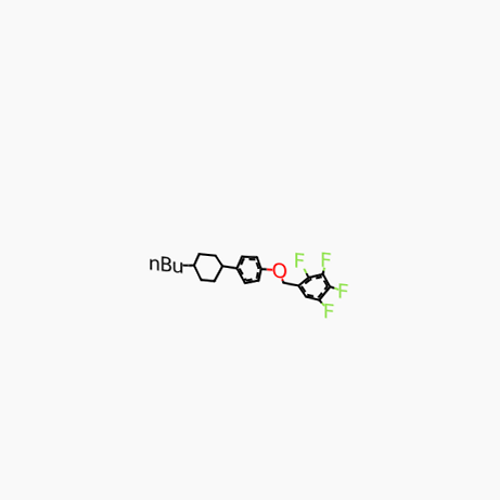 CCCCC1CCC(c2ccc(OCc3cc(F)c(F)c(F)c3F)cc2)CC1